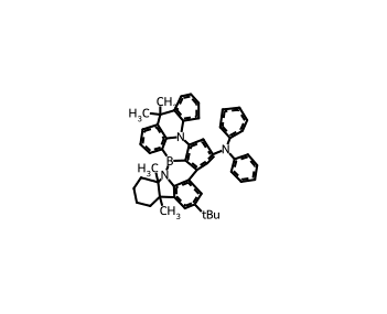 CC(C)(C)c1cc2c3c(c1)C1(C)CCCCC1(C)N3B1c3cccc4c3N(c3ccccc3C4(C)C)c3cc(N(c4ccccc4)c4ccccc4)cc-2c31